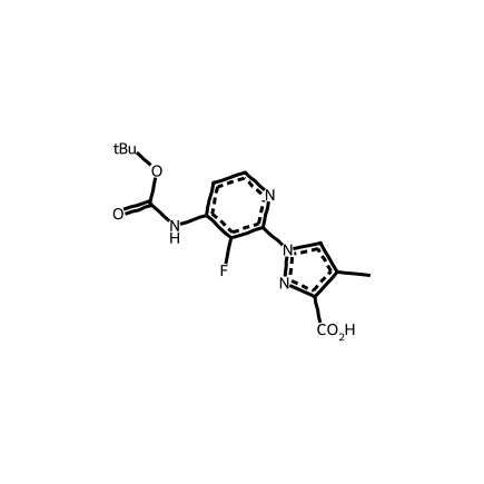 Cc1cn(-c2nccc(NC(=O)OC(C)(C)C)c2F)nc1C(=O)O